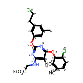 CCOC(=O)CNc1nc(Oc2cc(C)cc(CCCl)c2)nc(Oc2cc(C#N)ccc2Cl)c1[N+](=O)[O-]